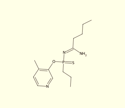 CCCCC(N)=NP(=S)(CCC)Oc1cnccc1C